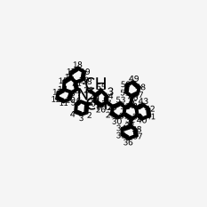 Cc1ccccc1N(c1c2ccccc2cc2ccccc12)C(C)c1ccc(-c2ccc3c(-c4ccccc4)c4ccccc4c(-c4ccccc4)c3c2)cc1